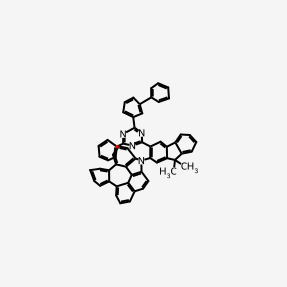 CC1(C)c2ccccc2-c2cc(-c3nc(-c4ccccc4)nc(-c4cccc(-c5ccccc5)c4)n3)c(-n3c4cccc5c4c4c6c(cccc6ccc43)-c3ccccc3-5)cc21